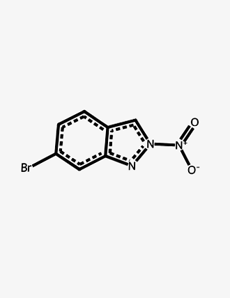 O=[N+]([O-])n1cc2ccc(Br)cc2n1